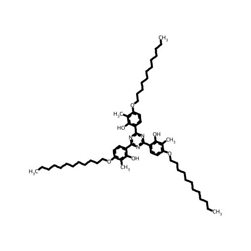 CCCCCCCCCCCCOc1ccc(-c2nc(-c3ccc(OCCCCCCCCCCCC)c(C)c3O)nc(-c3ccc(OCCCCCCCCCCCC)c(C)c3O)n2)c(O)c1C